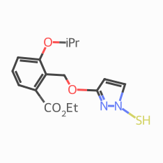 CCOC(=O)c1cccc(OC(C)C)c1COc1ccn(S)n1